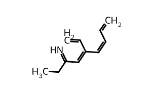 C=C/C=C\C(C=C)=C\C(=N)CC